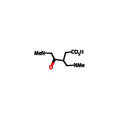 CNCC(=O)C(CNC)CC(=O)O